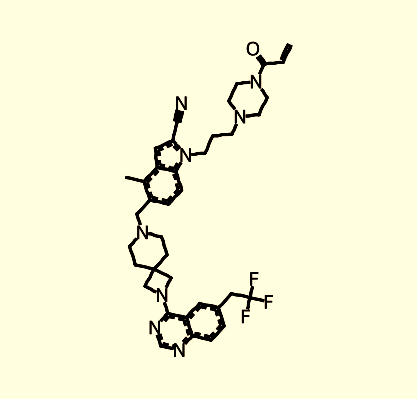 C=CC(=O)N1CCN(CCCn2c(C#N)cc3c(C)c(CN4CCC5(CC4)CN(c4ncnc6ccc(CC(F)(F)F)cc46)C5)ccc32)CC1